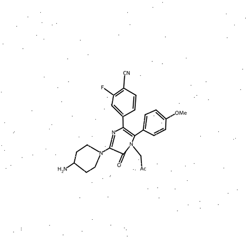 COc1ccc(-c2c(-c3ccc(C#N)c(F)c3)nc(N3CCC(N)CC3)c(=O)n2CC(C)=O)cc1